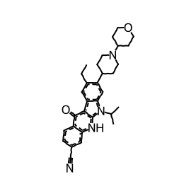 CCc1cc2c3c(=O)c4ccc(C#N)cc4[nH]c3n(C(C)C)c2cc1C1CCN(C2CCOCC2)CC1